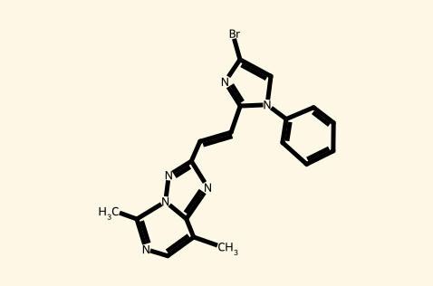 Cc1cnc(C)n2nc(C=Cc3nc(Br)cn3-c3ccccc3)nc12